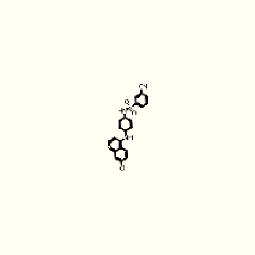 N#Cc1cccc(S(=O)(=O)NC2CCC(Nc3ccnc4cc(Cl)ccc34)CC2)c1